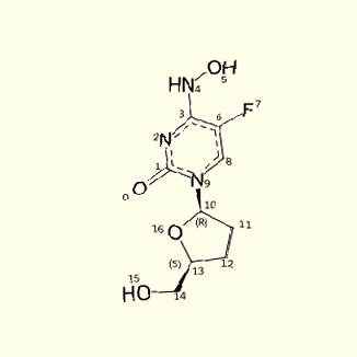 O=c1nc(NO)c(F)cn1[C@H]1CC[C@@H](CO)O1